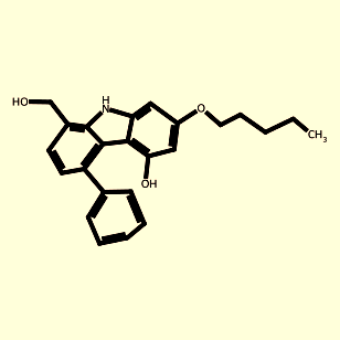 CCCCCOc1cc(O)c2c(c1)[nH]c1c(CO)ccc(-c3ccccc3)c12